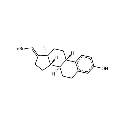 CCCCC=C1CC[C@H]2[C@@H]3CCc4cc(O)ccc4[C@H]3CC[C@]12C